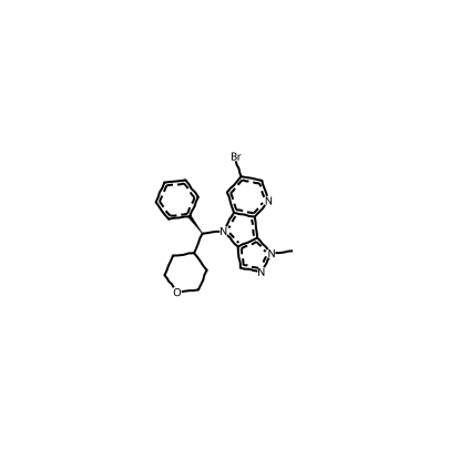 Cn1ncc2c1c1ncc(Br)cc1n2[C@H](c1ccccc1)C1CCOCC1